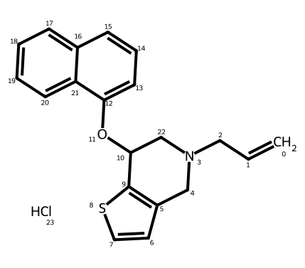 C=CCN1Cc2ccsc2C(Oc2cccc3ccccc23)C1.Cl